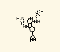 CC(CC(C)(C)O)Nc1ncc(C(N)=O)c2[nH]c3cc(-c4cnn(C)c4)ccc3c12